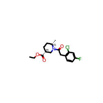 CCOC(=O)[C@@H]1CC[C@H](C)N(C(=O)Cc2ccc(F)cc2Cl)C1